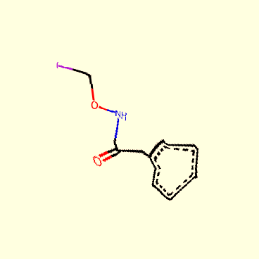 O=C(NOCI)c1ccccc1